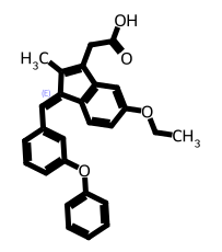 CCOc1ccc2c(c1)C(CC(=O)O)=C(C)/C2=C/c1cccc(Oc2ccccc2)c1